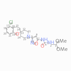 COC(CNC(=O)Nc1cc(N2CCC3(CCc4c(Cl)cccc4O3)CC2)no1)OC